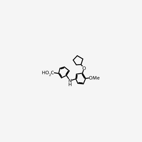 COc1ccc(Nc2cccc(C(=O)O)c2)cc1OC1CCCC1